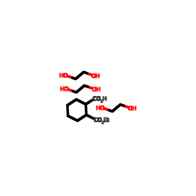 CCOC(=O)C1CCCCC1C(=O)O.OCCO.OCCO.OCCO